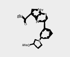 COC1CCN(c2cccc(-c3cnc4[nH]cc(C(=O)C(C)(C)C)c4n3)c2)C1